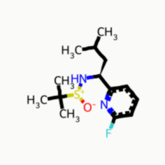 CC(C)C[C@H](N[S+]([O-])C(C)(C)C)c1cccc(F)n1